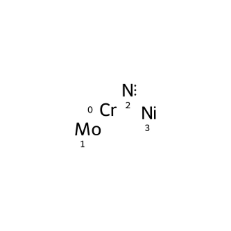 [Cr].[Mo].[N].[Ni]